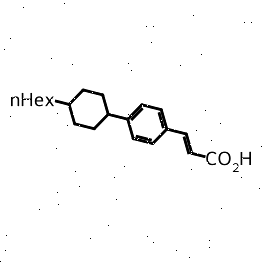 CCCCCCC1CCC(c2ccc(C=CC(=O)O)cc2)CC1